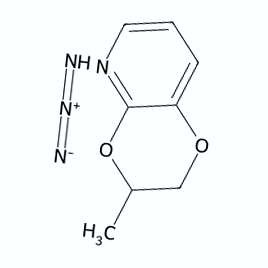 CC1COc2cccnc2O1.[N-]=[N+]=N